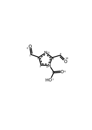 O=Cc1cn(C(=O)O)c(C=O)n1